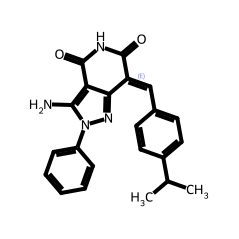 CC(C)c1ccc(/C=C2/C(=O)NC(=O)c3c2nn(-c2ccccc2)c3N)cc1